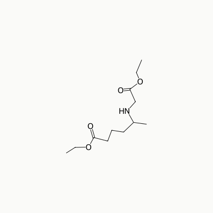 CCOC(=O)CCCC(C)NCC(=O)OCC